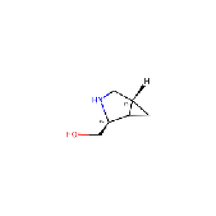 OC[C@H]1NC[C@@H]2CC21